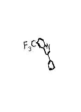 FC(F)(F)c1ccc2ncc(-c3ccccc3)cc2c1